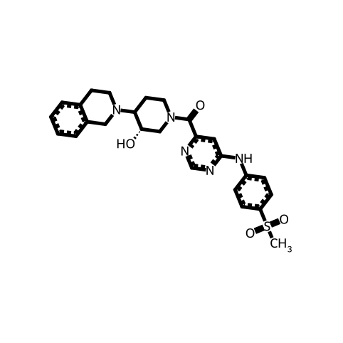 CS(=O)(=O)c1ccc(Nc2cc(C(=O)N3CCC(N4CCc5ccccc5C4)[C@@H](O)C3)ncn2)cc1